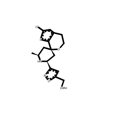 COCc1cc([C@@H]2C[C@]3(C[C@H](C)N2)OCCc2cc(Cl)sc23)no1